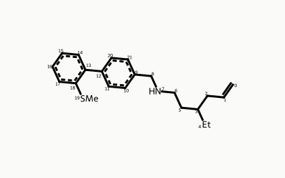 C=CCC(CC)CCNCc1ccc(-c2ccccc2SC)cc1